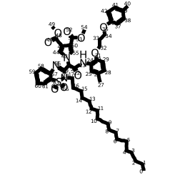 CCCCCCCCCCCCCCCCCCN1C(C(C(=O)Nc2cc(C)ccc2OCCCOc2ccc(C)cc2)n2cc(C(=O)OC)c(C(=O)OC)c2)=Nc2ccccc2S1(=O)=O